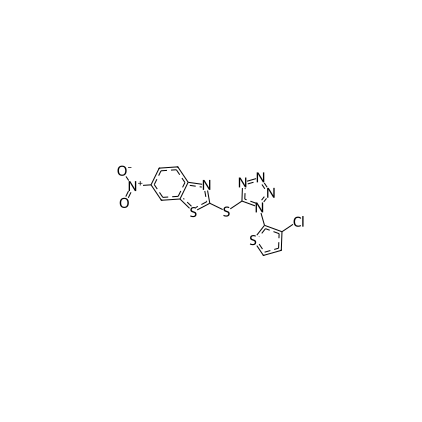 O=[N+]([O-])c1ccc2nc(Sc3nnnn3-c3sccc3Cl)sc2c1